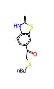 C=C1Nc2ccc(C(=O)CSCCCC)cc2S1